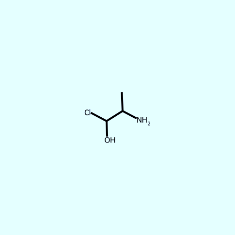 CC(N)C(O)Cl